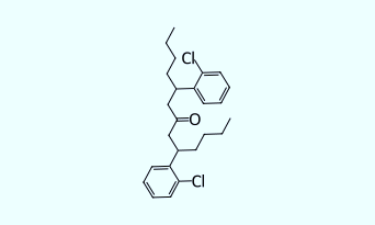 CCCCC(CC(=O)CC(CCCC)c1ccccc1Cl)c1ccccc1Cl